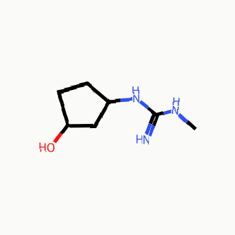 CNC(=N)NC1CCC(O)C1